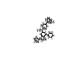 c1ccc(-c2cc(Nc3ncc(-c4nnn[nH]4)cn3)cc3c2ncn3-c2nccs2)cc1